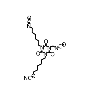 N#COCCCCCCn1c(=O)n(CCCCCCN=C=O)c(=O)n(CN=C=O)c1=O